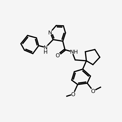 COc1ccc(C2(CNC(=O)c3cccnc3Nc3ccccc3)CCCC2)cc1OC